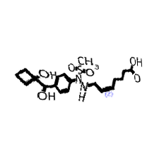 CS(=O)(=O)N(NC/C=C\CCCC(=O)O)c1ccc(C(O)C2(O)CCC2)cc1